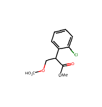 COC(=O)C(COC(=O)O)c1ccccc1Cl